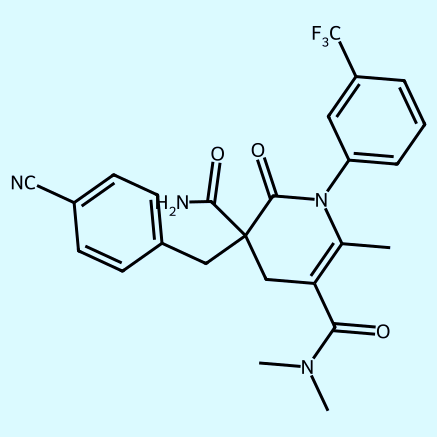 CC1=C(C(=O)N(C)C)CC(Cc2ccc(C#N)cc2)(C(N)=O)C(=O)N1c1cccc(C(F)(F)F)c1